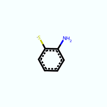 Nc1ccccc1[S]